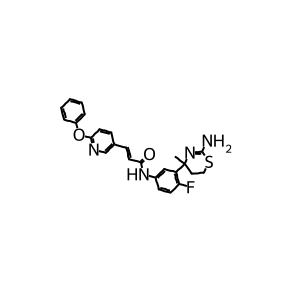 CC1(c2cc(NC(=O)/C=C/c3ccc(Oc4ccccc4)nc3)ccc2F)CCSC(N)=N1